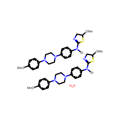 CCN(C1=NCC(OC)S1)c1ccc(N2CCN(c3ccc(OC)cc3)CC2)cc1.CCN(C1=NCC(OC)S1)c1ccc(N2CCN(c3ccc(OC)cc3)CC2)cc1.O